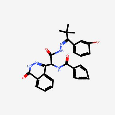 CC(C)(C)C(=NNC(=O)C(NC(=O)c1ccccc1)c1n[nH]c(=O)c2ccccc12)c1cccc(Br)c1